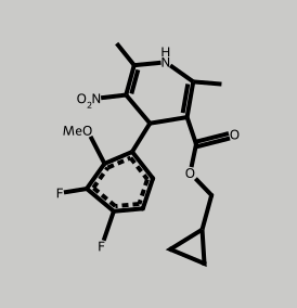 COc1c(C2C(C(=O)OCC3CC3)=C(C)NC(C)=C2[N+](=O)[O-])ccc(F)c1F